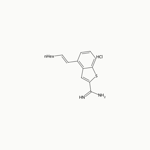 CCCCCCC=Cc1cccc2sc(C(=N)N)cc12.Cl